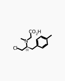 Cc1ccc(C[C@@H](CCl)N(C)CC(=O)O)cc1